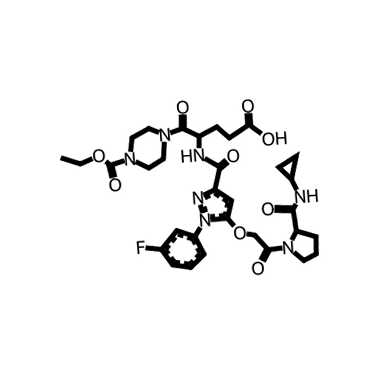 CCOC(=O)N1CCN(C(=O)C(CCC(=O)O)NC(=O)c2cc(OCC(=O)N3CCCC3C(=O)NC3CC3)n(-c3cccc(F)c3)n2)CC1